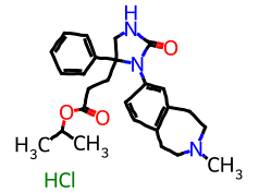 CC(C)OC(=O)CCC1(c2ccccc2)CNC(=O)N1c1ccc2c(c1)CCN(C)CC2.Cl